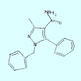 Cc1nn(Cc2ccccc2)c(-c2ccccc2)c1C(N)=O